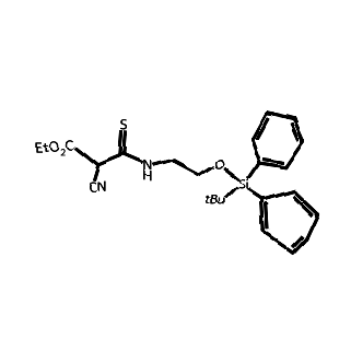 CCOC(=O)C(C#N)C(=S)NCCO[Si](c1ccccc1)(c1ccccc1)C(C)(C)C